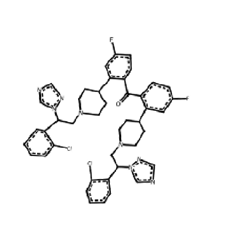 O=C(c1ccc(F)cc1C1CCN(CC(c2ccccc2Cl)n2cncn2)CC1)c1ccc(F)cc1C1CCN(CC(c2ccccc2Cl)n2cncn2)CC1